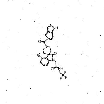 O=C(CN1C(=O)C2(CCN(C(=O)c3ccc4[nH]ncc4c3)CC2)c2c(Br)cccc21)NCC(F)(F)F